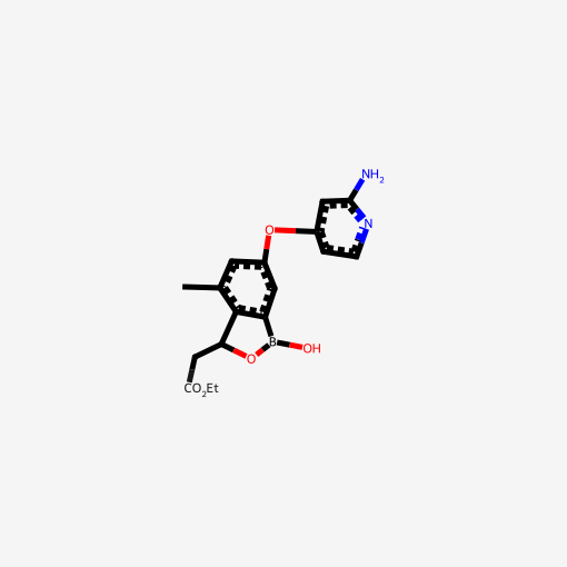 CCOC(=O)CC1OB(O)c2cc(Oc3ccnc(N)c3)cc(C)c21